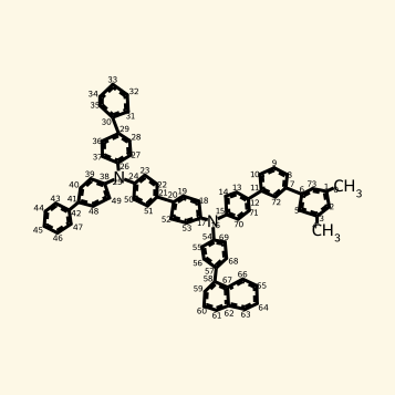 Cc1cc(C)cc(-c2cccc(-c3ccc(N(c4ccc(-c5ccc(N(c6ccc(-c7ccccc7)cc6)c6ccc(-c7ccccc7)cc6)cc5)cc4)c4ccc(-c5cccc6ccccc56)cc4)cc3)c2)c1